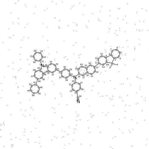 CC1(C)c2ccccc2-c2ccc(-c3ccc4cc(N(c5ccc(C#N)cc5)c5ccc(-c6ccc7c(c6)c6cc(-c8ccccc8)ccc6n7-c6ccccc6)cc5)ccc4c3)cc21